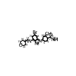 CCNC(=O)c1ccc(-n2cnc3c(NCC4CCOCC4)cc(Br)cc32)cc1C